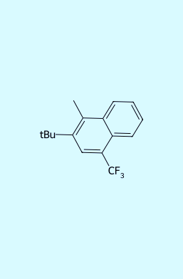 Cc1c(C(C)(C)C)cc(C(F)(F)F)c2ccccc12